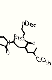 CCCCCCCCCCCCOC(=O)C(CC(C)C(=O)O)CC(CC)N1CCCC1=O